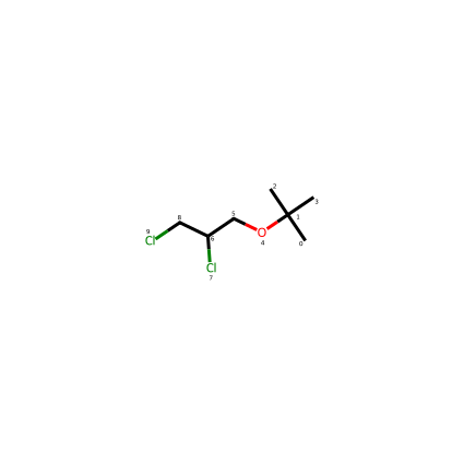 CC(C)(C)OCC(Cl)CCl